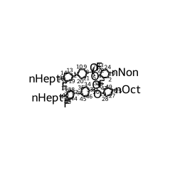 CCCCCCCCCc1ccc(OC(=O)c2ccc(-c3ccc(CCCCCCC)c(F)c3)cc2)c(F)c1.CCCCCCCCc1ccc(OC(=O)c2ccc(-c3ccc(CCCCCCC)c(F)c3)cc2)c(F)c1